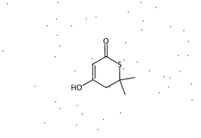 CC1(C)CC(O)=CC(=O)S1